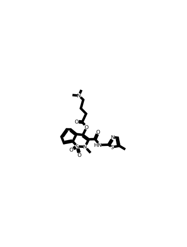 Cc1cnc(NC(=O)C2=C(OC(=O)CCCN(C)C)c3ccccc3S(=O)(=O)N2C)s1